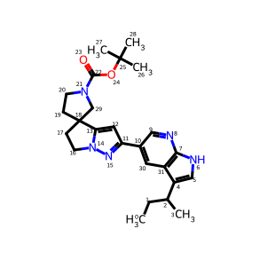 CCC(C)c1c[nH]c2ncc(-c3cc4n(n3)CCC43CCN(C(=O)OC(C)(C)C)C3)cc12